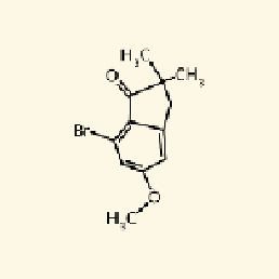 COc1cc(Br)c2c(c1)CC(C)(C)C2=O